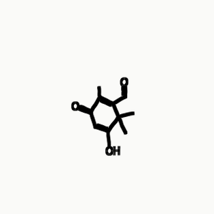 CC1=C(C=O)C(C)(C)C(O)=CC1=O